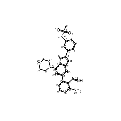 CS(=O)(=O)Nc1cccc(-c2cc3nc(-c4cccc(N)c4C=N)nc(N4CCOCC4)c3s2)c1